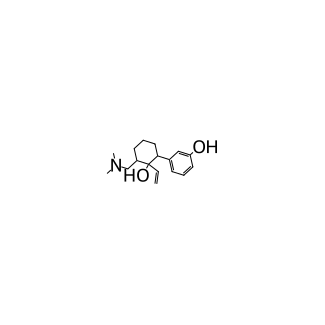 C=CC1(O)C(CN(C)C)CCCC1c1cccc(O)c1